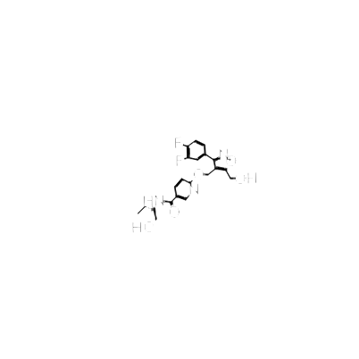 CC[C@H](CO)NC(=O)c1ccc(OCc2c(-c3ccc(F)c(F)c3)noc2CO)nc1